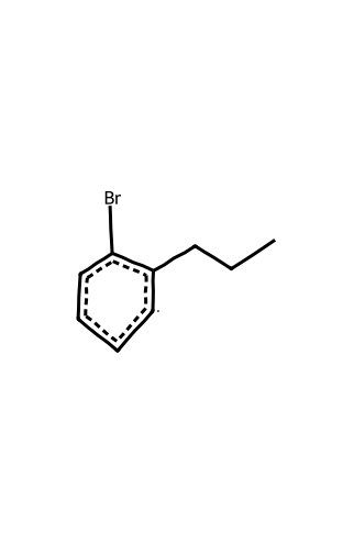 CCCc1[c]cccc1Br